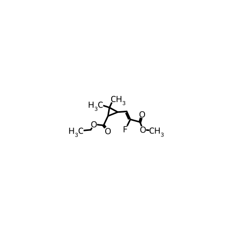 CCOC(=O)C1C(C=C(F)C(=O)OC)C1(C)C